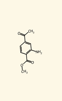 COC(=O)c1ccc(C(C)=O)cc1N